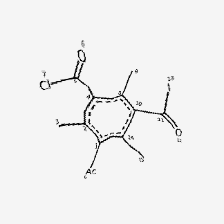 CC(=O)c1c(C)c(C(=O)Cl)c(C)c(C(=O)I)c1C